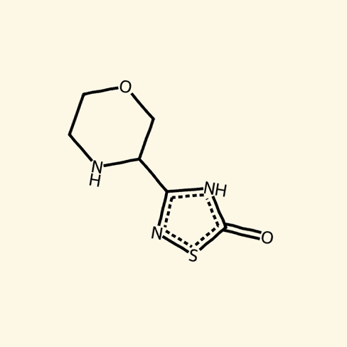 O=c1[nH]c(C2COCCN2)ns1